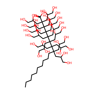 CCCCCCCCCCC(CC(O)CO)(CC(O)CO)C(CC(O)CO)(CC(O)CO)C(CC(O)CO)(CC(O)CO)C(CC(O)CO)(CC(O)CO)C(CC(O)CO)(CC(O)CO)C(CC(O)CO)(CC(O)CO)C(CC(O)CO)(CC(O)CO)C(=O)O